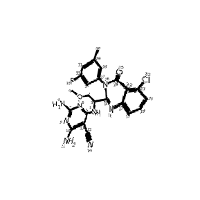 COCC(Nc1nc(N)nc(N)c1C#N)c1nc2cccc(Cl)c2c(=O)n1-c1cc(C)cc(F)c1